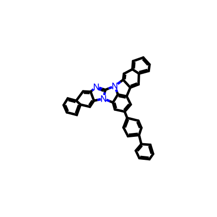 c1ccc(-c2ccc(-c3cc4c5cc6ccccc6cc5n5c4c(c3)n3c4cc6ccccc6cc4nc35)cc2)cc1